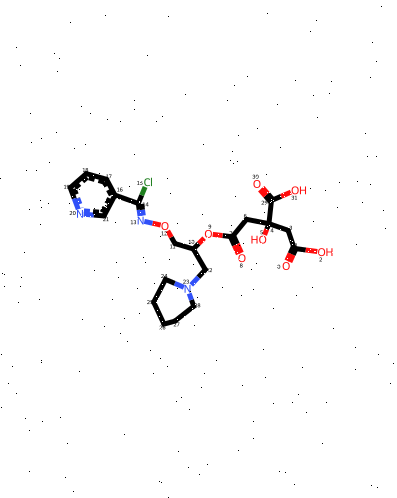 O=C(O)CC(O)(CC(=O)OC(CON=C(Cl)c1cccnc1)CN1CCCCC1)C(=O)O